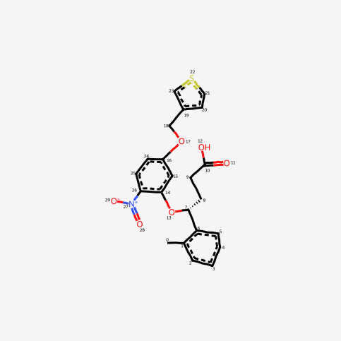 Cc1ccccc1[C@@H](CCC(=O)O)Oc1cc(OCc2ccsc2)ccc1[N+](=O)[O-]